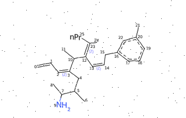 C=C/C=C(/CC(C)C(C)N)C(C)C(/C=C\Cc1cccc(C)c1)=C(/C)CCC